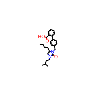 CCC=Cc1cn(CCC(C)C)c(=O)n1Cc1ccc(-c2ccccc2C(=O)O)cc1